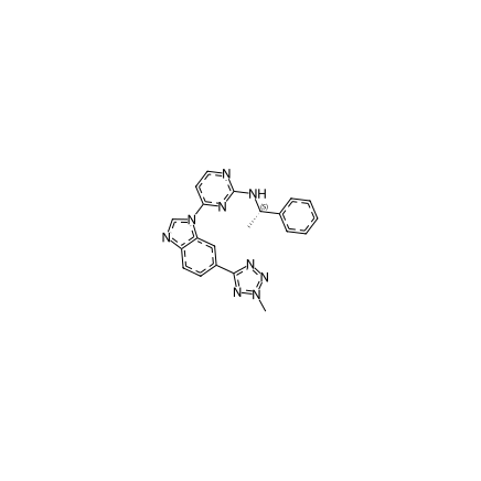 C[C@H](Nc1nccc(-n2cnc3ccc(-c4nnn(C)n4)cc32)n1)c1ccccc1